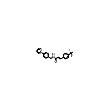 O=C(C=Cc1ccc(C(F)(F)F)cc1)NCc1ccc(-n2cccn2)cc1